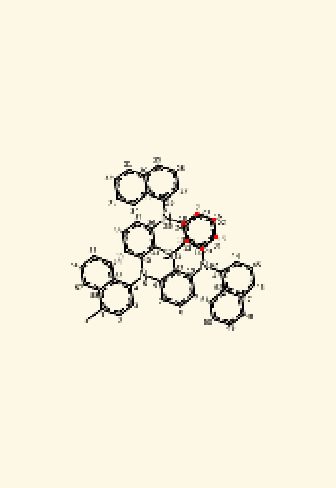 Cc1ccc(N2c3cccc4c3[Si]3(c5ccccc5)c5c(cccc5N(c5cccc6ccccc56)c5cccc2c53)N4c2cccc3ccccc23)c2ccccc12